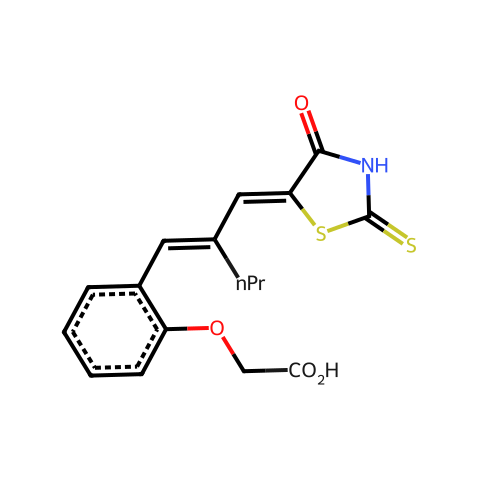 CCCC(/C=C1\SC(=S)NC1=O)=C\c1ccccc1OCC(=O)O